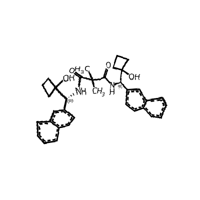 CC(C)(C(=O)N[C@H](c1ccc2ccccc2c1)C1(O)CCC1)C(=O)N[C@H](c1ccc2ccccc2c1)C1(O)CCC1